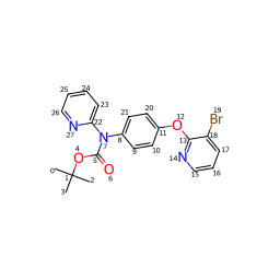 CC(C)(C)OC(=O)N(c1ccc(Oc2ncccc2Br)cc1)c1ccccn1